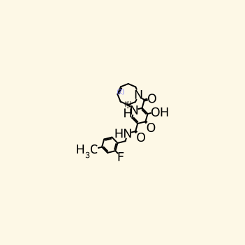 Cc1ccc(CNC(=O)c2cn3c(c(O)c2=O)C(=O)N2CC/C=C\C[C@H]3C2)c(F)c1